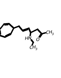 CCNC(C=CCC1C=CC=CC=C1)CC(C)=O